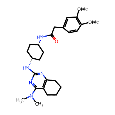 COc1ccc(CC(=O)N[C@H]2CC[C@@H](Nc3nc4c(c(N(C)C)n3)CCCC4)CC2)cc1OC